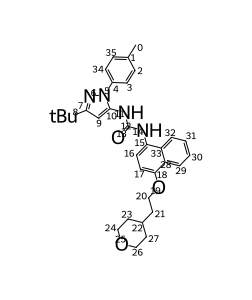 Cc1ccc(-n2nc(C(C)(C)C)cc2NC(=O)Nc2ccc(OCCC3CCOCC3)c3ccccc23)cc1